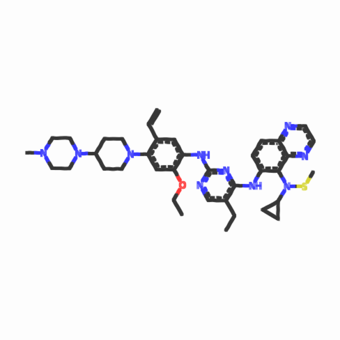 C=Cc1cc(Nc2ncc(CC)c(Nc3ccc4nccnc4c3N(SC)C3CC3)n2)c(OCC)cc1N1CCC(N2CCN(C)CC2)CC1